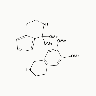 COC1(OC)NCCc2ccccc21.COc1cc2c(cc1OC)CNCC2